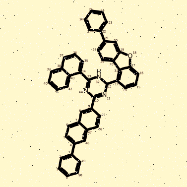 c1ccc(-c2ccc3cc(C4=NC(c5cccc6oc7cc(-c8ccccc8)ccc7c56)NC(c5cccc6ccccc56)=N4)ccc3c2)cc1